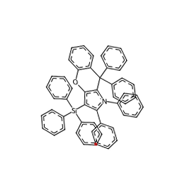 c1ccc(-c2c([Si](c3ccccc3)(c3ccccc3)c3ccccc3)c3c(n2-c2ccccc2)C(c2ccccc2)(c2ccccc2)c2ccccc2O3)cc1